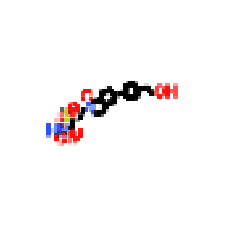 CS(=O)(=O)[C@H](CCn1ccc2cc(-c3ccc(CCO)cc3)ccc2c1=O)C(=O)NO